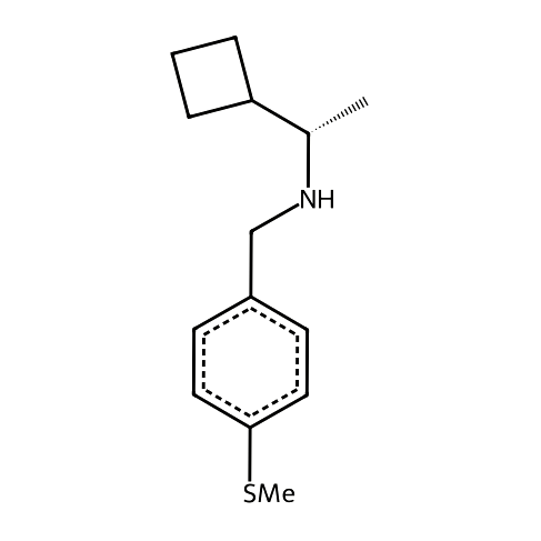 CSc1ccc(CN[C@@H](C)C2CCC2)cc1